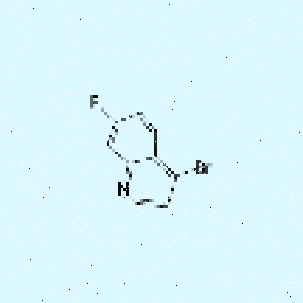 Fc1ccc2c(Br)ccnc2c1